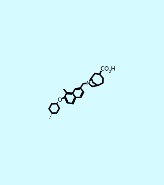 Cc1c(O[C@H]2CC[C@@H](C)CC2)ccc2ccc(CN3CC4CCC(C(=O)O)CC3C4)cc12